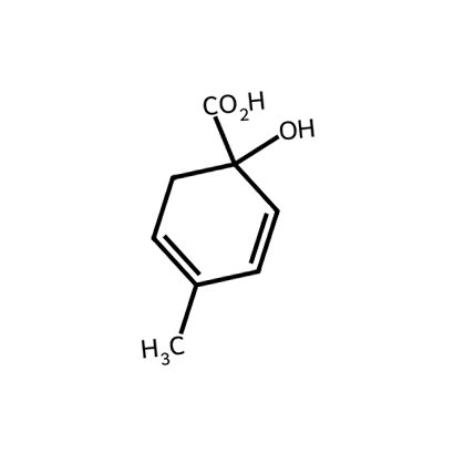 CC1=CCC(O)(C(=O)O)C=C1